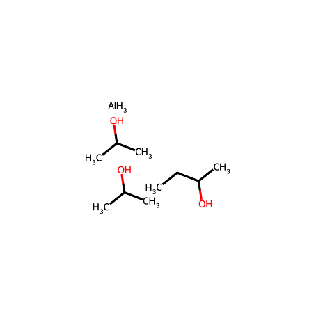 CC(C)O.CC(C)O.CCC(C)O.[AlH3]